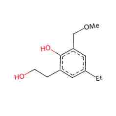 CCc1cc(CCO)c(O)c(COC)c1